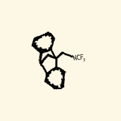 FC(F)(F)NCC12CC(c3ccccc31)c1ccccc12